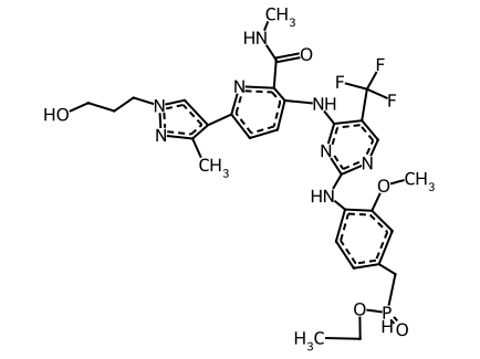 CCO[PH](=O)Cc1ccc(Nc2ncc(C(F)(F)F)c(Nc3ccc(-c4cn(CCCO)nc4C)nc3C(=O)NC)n2)c(OC)c1